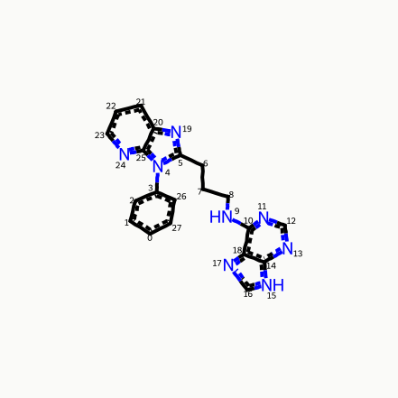 c1ccc(-n2c(CCCNc3ncnc4[nH]cnc34)nc3cccnc32)cc1